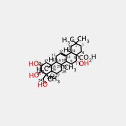 CC1(C)CC[C@]2(C(=O)O)[C@H](O)CC3C(=CC[C@@H]4[C@@]5(C)C[C@H](O)[C@H](O)[C@@](C)(CO)[C@@H]5CC[C@@]34C)[C@@H]2C1